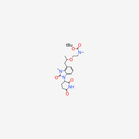 CC(Cc1cccc2c1n(C)c(=O)n2C1CCC(=O)NC1=O)OCCN(C)C(=O)OC(C)(C)C